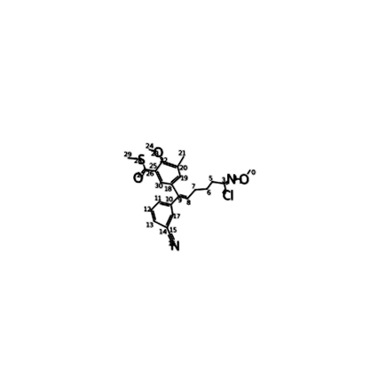 CO/N=C(\Cl)CCC/C=C(/c1cccc(C#N)c1)c1cc(C)c(OC)c(C(=O)SC)c1